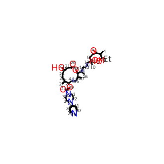 CCC(O)C(C)C1OC1CC(C)(O)/C=C/C=C(\C)C1OC(=O)CC(O)CCC(C)C(OC(=O)N2CCN(c3ccncc3)CC2)/C=C/C1C